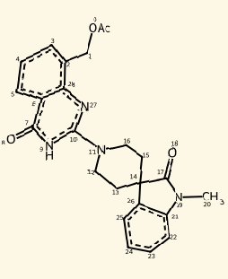 CC(=O)OCc1cccc2c(=O)[nH]c(N3CCC4(CC3)C(=O)N(C)c3ccccc34)nc12